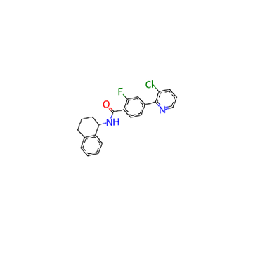 O=C(NC1CCCc2ccccc21)c1ccc(-c2ncccc2Cl)cc1F